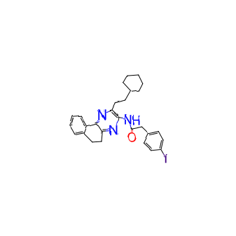 O=C(Cc1ccc(I)cc1)Nc1nc2c(nc1CCC1CCCCC1)-c1ccccc1CC2